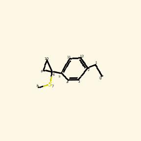 CCc1ccc(C2(SC)CC2)cc1